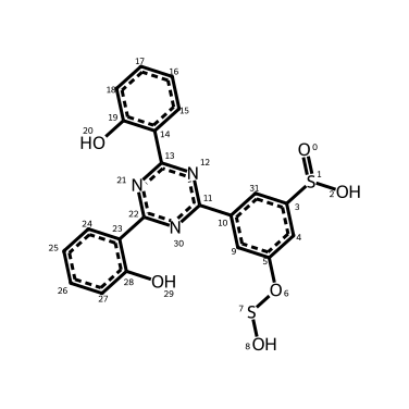 O=S(O)c1cc(OSO)cc(-c2nc(-c3ccccc3O)nc(-c3ccccc3O)n2)c1